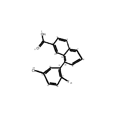 O=C(O)c1ccc2cccc(-c3cc(Cl)ccc3F)c2c1